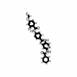 O=C(Nc1ccc(-c2nc3cc(NC(=O)C4CCCCC4)ncc3[nH]2)cc1)c1ccc(OCF)cc1F